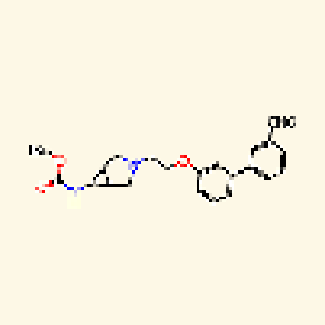 CC(C)(C)OC(=O)NC1C2CN(CCOc3cccc(-c4cccc(C=O)c4)c3)CC21